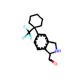 O=CC1NCc2cc(C3(C(F)(F)F)CCCCC3)ccc21